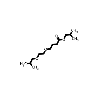 CC(C)COCCOCCCC(=O)OCC(C)C